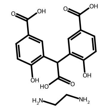 NCCN.O=C(O)c1ccc(O)c(C(C(=O)O)c2cc(C(=O)O)ccc2O)c1